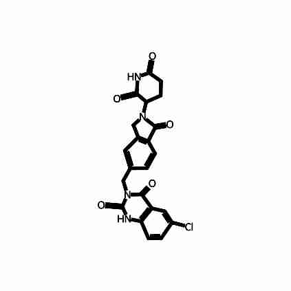 O=C1CCC(N2Cc3cc(Cn4c(=O)[nH]c5ccc(Cl)cc5c4=O)ccc3C2=O)C(=O)N1